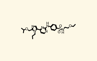 CCCn1c(-c2ccnc(Nc3ccc(S(=O)(=O)NCCOCC)cc3)n2)cnc1COC(C)C